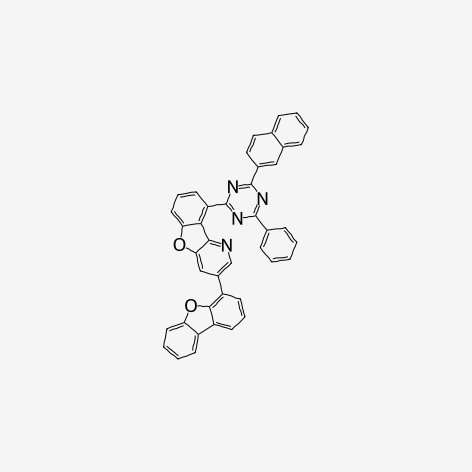 c1ccc(-c2nc(-c3ccc4ccccc4c3)nc(-c3cccc4oc5cc(-c6cccc7c6oc6ccccc67)cnc5c34)n2)cc1